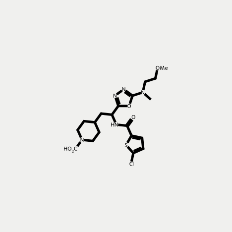 COCCN(C)c1nnc(C(CC2CCN(C(=O)O)CC2)NC(=O)c2ccc(Cl)s2)o1